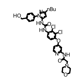 CCCCc1cc(NC(=O)Nc2ccc(Oc3ccnc(NC(=O)CN4CCOCC4)c3)c(Cl)c2Cl)n(-c2ccc(CO)cc2)n1